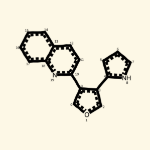 [c]1occ(-c2ccc[nH]2)c1-c1ccc2ccccc2n1